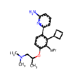 CCCc1c(OC(C)CN(C)C)ccc(-c2cccc(N)n2)c1C1CCC1